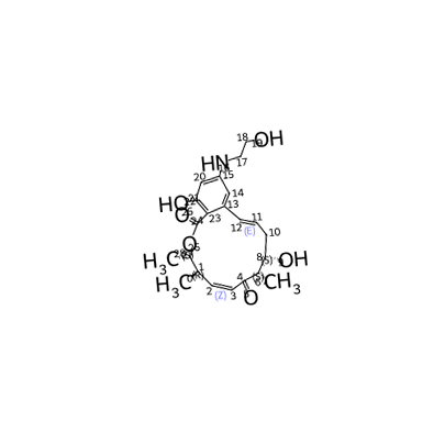 C[C@@H]1/C=C\C(=O)[C@@H](C)[C@@H](O)C/C=C/c2cc(NCCO)cc(O)c2C(=O)O[C@H]1C